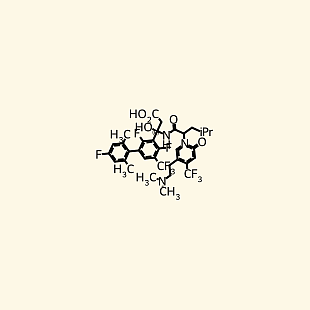 Cc1cc(F)cc(C)c1-c1cc(C(F)(F)F)c(F)c([C@](O)(CC(=O)O)NC(=O)C(CC(C)C)n2cc(CCN(C)C)c(C(F)(F)F)cc2=O)c1F